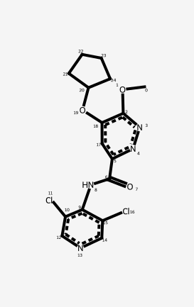 COc1nnc(C(=O)Nc2c(Cl)cncc2Cl)cc1OC1CCCC1